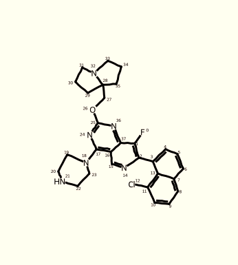 Fc1c(-c2cccc3cccc(Cl)c23)ncc2c(N3CCNCC3)nc(OCC34CCCN3CCC4)nc12